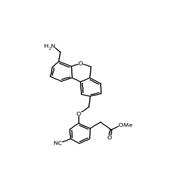 COC(=O)Cc1ccc(C#N)cc1OCc1ccc2c(c1)-c1cccc(CN)c1OC2